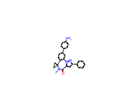 CN1C(=O)c2cc(-c3ccccc3)nn2-c2cc(-c3ccc(N)cc3)ccc2C12CC2